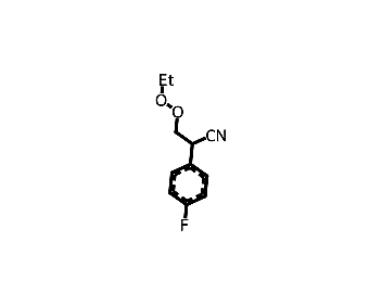 CCOOCC(C#N)c1ccc(F)cc1